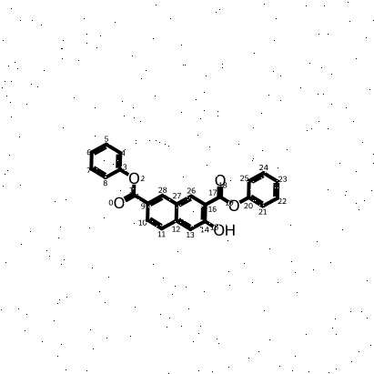 O=C(Oc1ccccc1)c1ccc2cc(O)c(C(=O)Oc3ccccc3)cc2c1